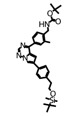 Cc1cc(-c2ncnn3cc(-c4ccc(CCO[Si](C)(C)C(C)(C)C)cc4)cc23)ccc1CNC(=O)OC(C)(C)C